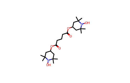 CC1(C)CC(OC(=O)CCCC(=O)OC2CC(C)(C)N(O)C(C)(C)C2)CC(C)(C)N1O